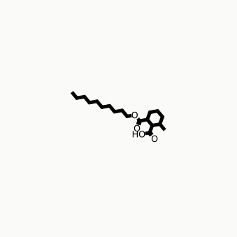 CCCCCCCCCCOC(=O)C1CCCC(C)C1C(=O)O